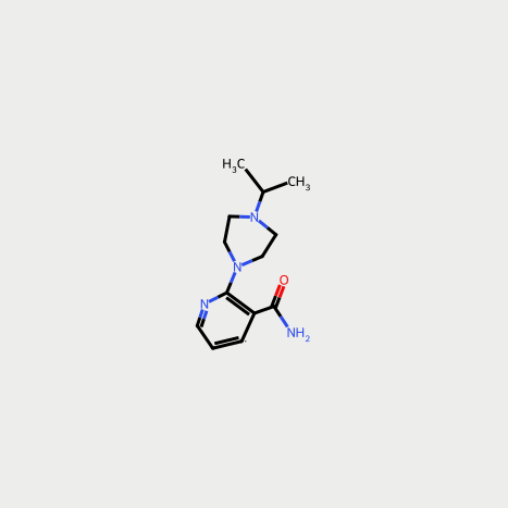 CC(C)N1CCN(c2ncc[c]c2C(N)=O)CC1